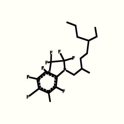 CCCC(CC)CCC(C)CP(c1c(F)c(C)c(F)c(F)c1F)C(F)(F)C(F)(F)F